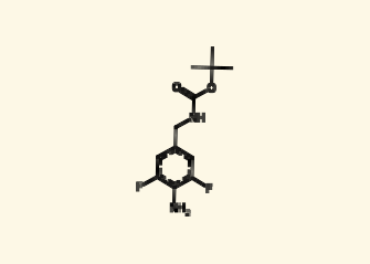 CC(C)(C)OC(=O)NCc1cc(F)c(N)c(F)c1